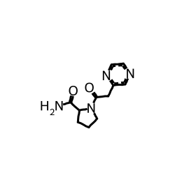 NC(=O)C1CCCN1C(=O)Cc1cnccn1